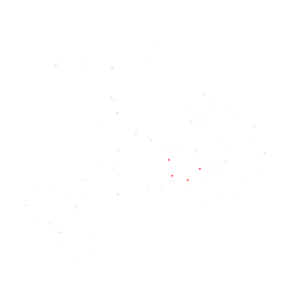 CC(C)(C)c1ccc(N2c3cc(-n4c5ccc(C(C)(C)C)cc5c5cc(C(C)(C)C)ccc54)ccc3B3c4ccc(-n5c6ccccc6c6ccccc65)cc4Sc4cc(-c5ccc6oc7ccc8sc9ccccc9c8c7c6c5)cc2c43)c(-c2ccccc2)c1